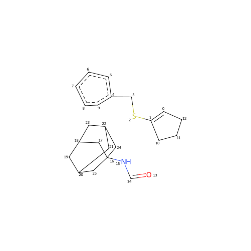 C1=C(SCc2ccccc2)CCC1.O=CNC12CC3CC(CC(C3)C1)C2